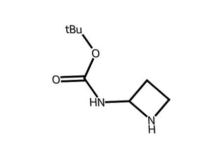 CC(C)(C)OC(=O)NC1CCN1